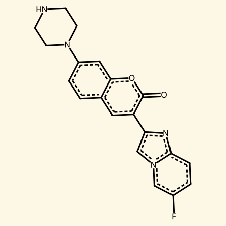 O=c1oc2cc(N3CCNCC3)ccc2cc1-c1cn2cc(F)ccc2n1